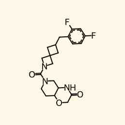 O=C1COC2CCN(C(=O)N3CC4(CC(Cc5ccc(F)cc5F)C4)C3)CC2N1